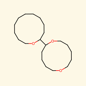 C1CCCCCC([C]2CCCCOCCCCCO2)OCCCC1